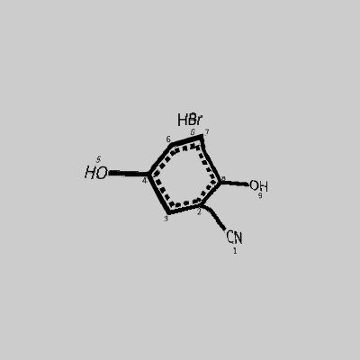 Br.N#Cc1cc(O)ccc1O